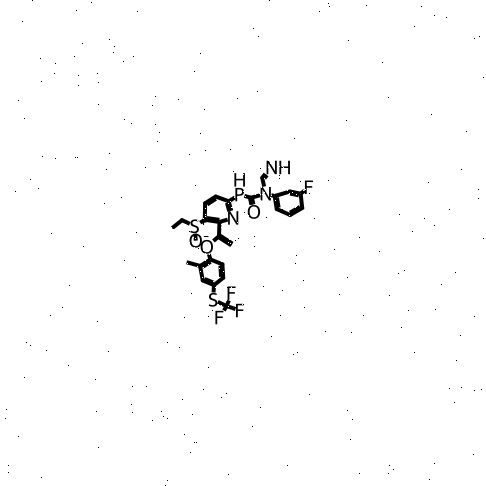 C=C(Oc1ccc(SC(F)(F)F)cc1C)c1nc(PC(=O)N(C=N)c2cccc(F)c2)ccc1[S+]([O-])CC